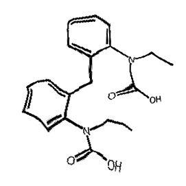 CCN(C(=O)O)c1ccccc1Cc1ccccc1N(CC)C(=O)O